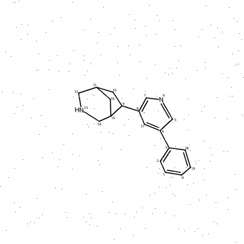 c1ccc(-c2cncc(C3CC4CNCC3C4)c2)cc1